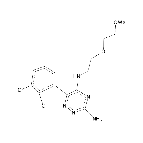 COCCOCCNc1nc(N)nnc1-c1cccc(Cl)c1Cl